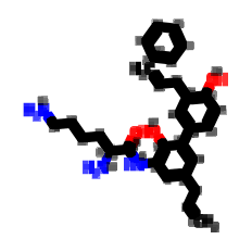 C=CCc1cc(NC(=O)[C@@H](N)CCCCN)c(O)c(-c2ccc(O)c(CC=C)c2)c1.c1ccccc1